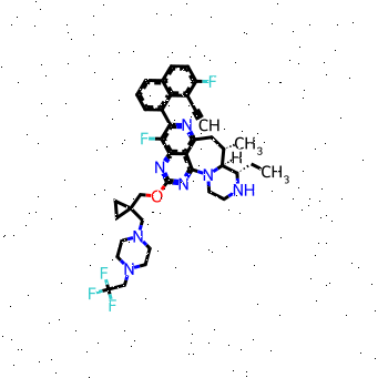 C#Cc1c(F)ccc2cccc(-c3nc4c5c(nc(OCC6(CN7CCN(CC(F)(F)F)CC7)CC6)nc5c3F)N3CCN[C@@H](CC)[C@@H]3[C@@H](C)C4)c12